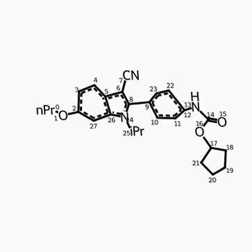 CCCOc1ccc2c(C#N)c(-c3ccc(NC(=O)OC4CCCC4)cc3)n(C(C)C)c2c1